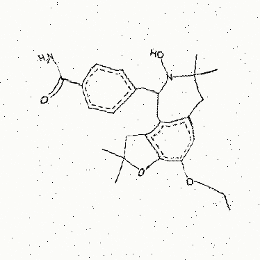 CCOc1cc2c(c3c1OC(C)(C)C3)C(c1ccc(C(N)=O)cc1)N(O)C(C)(C)C2